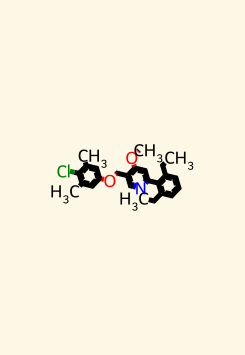 CCc1cccc(CC)c1-c1cc(OC)c(COc2cc(C)c(Cl)c(C)c2)cn1